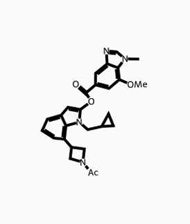 COc1cc(C(=O)Oc2cc3cccc(C4CN(C(C)=O)C4)c3n2CC2CC2)cc2ncn(C)c12